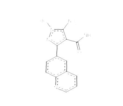 CC(C)(C)n1nc(-c2ccc3ncccc3c2)c(C(N)=O)c1N